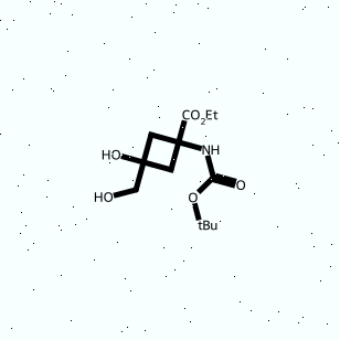 CCOC(=O)C1(NC(=O)OC(C)(C)C)CC(O)(CO)C1